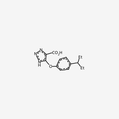 CCC(CC)c1ccc(Oc2[nH]nnc2C(=O)O)cc1